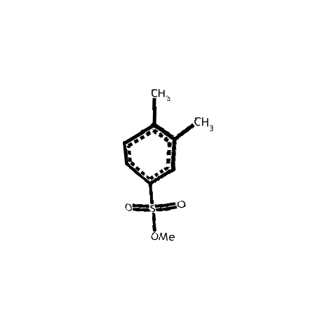 COS(=O)(=O)c1ccc(C)c(C)c1